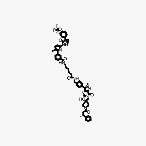 Cc1ccc(NC(=O)C2(c3ccc4c(c3)OC(F)(F)O4)CC2)nc1-c1cccc(C(=O)NCCCCCC(=O)NCc2ccc(-c3c4ncn(CC5(O)CCN(C(=O)C[C@@H](C)c6ccccc6)CC5)c(=O)c4nn3C)cc2)c1